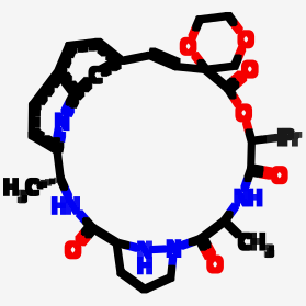 CC1NC(=O)C(C(C)C)OC(=O)C2(/C=C/c3ccc4ccc(nc4c3)[C@@H](C)NC(=O)C3CCCN(N3)C1=O)COCCO2